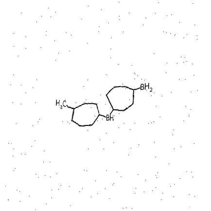 BC1CCCC(BC2CCCC(C)CC2)CC1